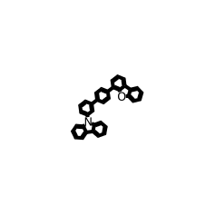 c1cc(-c2ccc(-c3cccc4c3oc3ccccc34)cc2)cc(-n2c3ccccc3c3ccccc32)c1